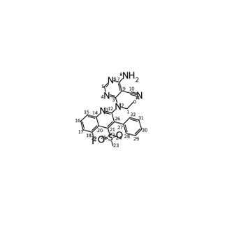 CCN(c1ncnc(N)c1C#N)c1nc2cccc(F)c2c(S(C)(=O)=O)c1-c1ccccc1